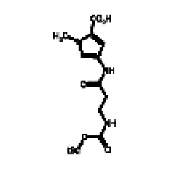 Cn1cc(NC(=O)CCNC(=O)OC(C)(C)C)cc1C(=O)O